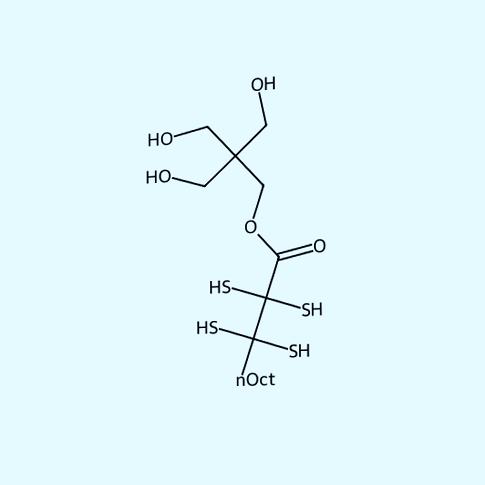 CCCCCCCCC(S)(S)C(S)(S)C(=O)OCC(CO)(CO)CO